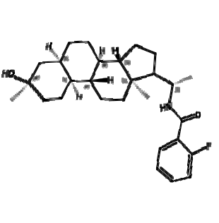 C[C@H](NC(=O)c1ccccc1F)C1CC[C@H]2[C@@H]3CC[C@@H]4C[C@](C)(O)CC[C@@H]4[C@H]3CC[C@]12C